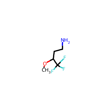 COC(CCN)C(F)(F)F